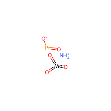 O=P[O-].[NH4+].[O]=[Mo](=[O])=[O]